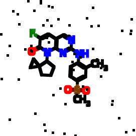 Cc1cc(S(C)(=O)=O)ccc1Nc1ncc2cc(F)c(=O)n(C3CCCC34CC4)c2n1